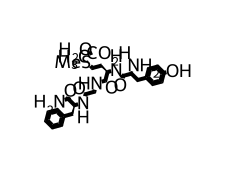 CC(=O)O.CSCC[C@@H](NC(=O)[C@@H](N)Cc1ccc(O)cc1)C(=O)NCC(=O)N[C@@H](Cc1ccccc1)C(N)=O.O